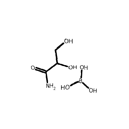 NC(=O)C(O)CO.OB(O)O